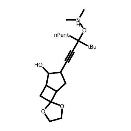 CCCCCC(C#CC1CC2C(CC23OCCO3)C1O)(O[SiH](C)C)C(C)(C)C